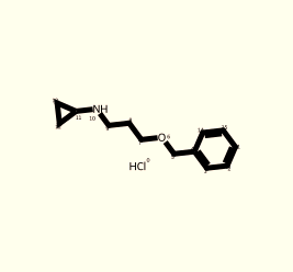 Cl.c1ccc(COCCCNC2CC2)cc1